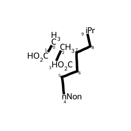 CC(=O)O.CC(=O)O.CCCCCCCCCCCCCC(C)C